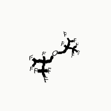 FC(F)C(F)(COCC(F)(C(F)F)C(F)(F)F)C(F)(F)F